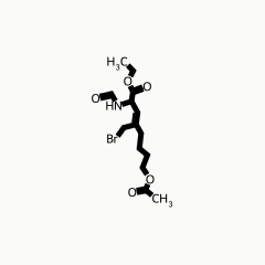 CCOC(=O)C(/C=C(\CBr)CCCCOC(C)=O)NC=O